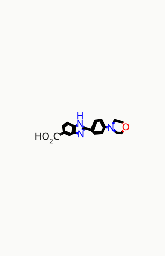 O=C(O)c1ccc2[nH]c(-c3ccc(N4CCOCC4)cc3)nc2c1